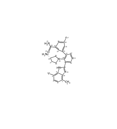 Cc1ccc(F)c2[nH]c(-c3cncc(-c4cc(F)cc(C(N)=O)c4)c3N3CC[C@H](N)C3)nc12